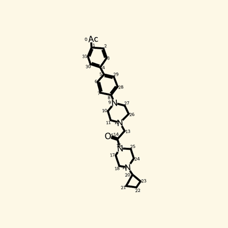 CC(=O)c1ccc(-c2ccc(N3CCN(CC(=O)N4CCN(C5CCC5)CC4)CC3)cc2)cc1